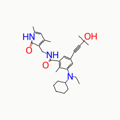 CCN(c1cc(C#CC(C)(C)O)cc(C(=O)NCc2c(C)cc(C)[nH]c2=O)c1C)C1CCCCC1